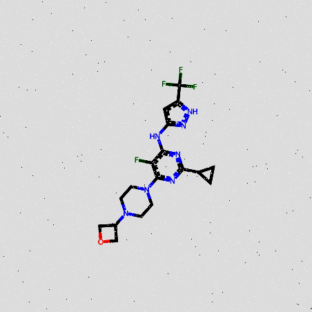 Fc1c(Nc2cc(C(F)(F)F)[nH]n2)nc(C2CC2)nc1N1CCN(C2COC2)CC1